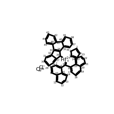 C1=CC[C]([Hf+2](=[C](c2cccc3ccccc23)c2cccc3ccccc23)[CH]2c3ccccc3-c3c2c2ccccc2c2ccccc32)=C1.[Cl-].[Cl-]